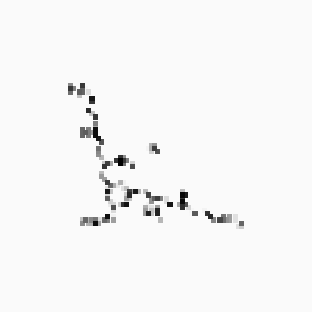 CCCCOc1cc(CC(N)CCNCCCN)cc(CC(N)CCNCCCN)c1.Cl